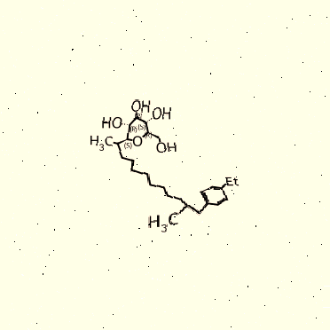 CCc1ccc(CC(C)CCCCCCCCC(C)[C@@H]2O[C@H](CO)[C@@H](O)[C@H](O)[C@H]2O)cc1